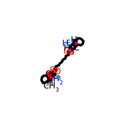 C[C@@H]1CCCC[C@]2(C)c3cc(OC(=O)CCCCCCCCC(=O)Oc4cc(F)c5c(c4)[C@@]4(C)CCCCC[C@@H](C5)[C@@H]4N)cc(F)c3C[C@H]1[C@@H]2N